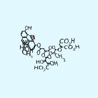 C[C@H](OC(=O)[C@H](CC(=O)OC1=CC[C@@]2(O)[C@H]3Cc4ccc(O)c5c4[C@@]2(CCN3C)[C@H]1O5)OC(=O)[C@H](O)[C@@H](O)C(=O)O)C(=O)O[C@H](CC(=O)O)C(=O)O